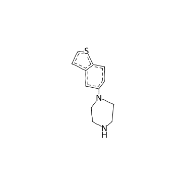 c1cc2cc(N3CCNCC3)ccc2s1